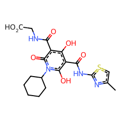 Cc1csc(NC(=O)c2c(O)c(C(=O)NCC(=O)O)c(=O)n(C3CCCCC3)c2O)n1